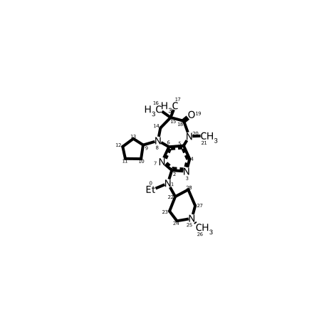 CCN(c1ncc2c(n1)N(C1CCCC1)CC(C)(C)C(=O)N2C)C1CCN(C)CC1